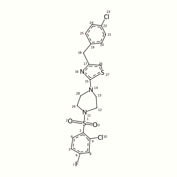 O=S(=O)(c1ccc(F)cc1Cl)N1CCN(c2nc(Cc3ccc(Cl)cc3)cs2)CC1